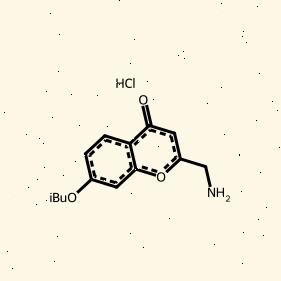 CC(C)COc1ccc2c(=O)cc(CN)oc2c1.Cl